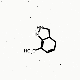 O=C(O)C1=C2NNCC2CC=C1